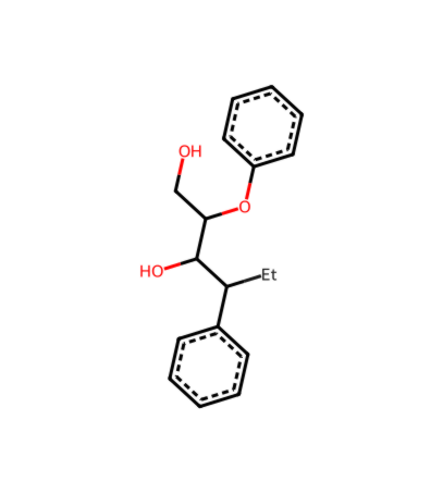 CCC(c1ccccc1)C(O)C(CO)Oc1ccccc1